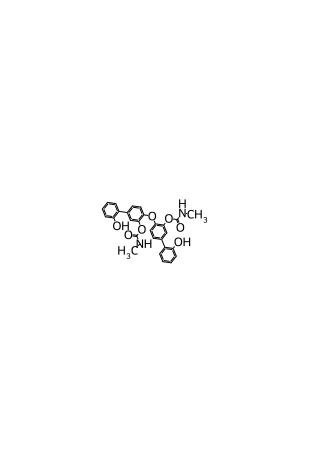 CNC(=O)Oc1cc(-c2ccccc2O)ccc1Oc1ccc(-c2ccccc2O)cc1OC(=O)NC